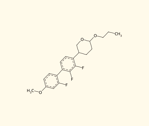 CCCOC1CCC(c2ccc(-c3ccc(OC)cc3F)c(F)c2F)CO1